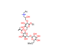 C=C(C)C(=O)OC1[C@@H](OCC2O[C@H](OCC)C(OCC(O)C[N+](C)(C)CC(C)=O)[C@H](O)[C@@H]2O)OC(CO[C@H]2OC(COC)[C@@H](O)[C@@H](O)C2O)[C@@H](O)[C@H]1O